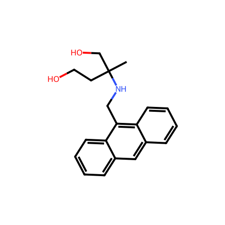 CC(CO)(CCO)NCc1c2ccccc2cc2ccccc12